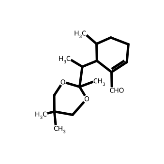 CC1CCC=C(C=O)C1C(C)C1(C)OCC(C)(C)CO1